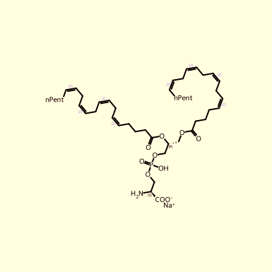 CCCCC/C=C\C/C=C\C/C=C\C/C=C\CCCC(=O)OC[C@H](COP(=O)(O)OC[C@H](N)C(=O)[O-])OC(=O)CCC/C=C\C/C=C\C/C=C\C/C=C\CCCCC.[Na+]